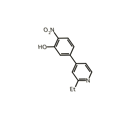 CCc1cc(-c2ccc([N+](=O)[O-])c(O)c2)ccn1